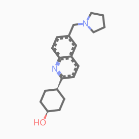 O[C@H]1CC[C@@H](c2ccc3cc(CN4CCCC4)ccc3n2)CC1